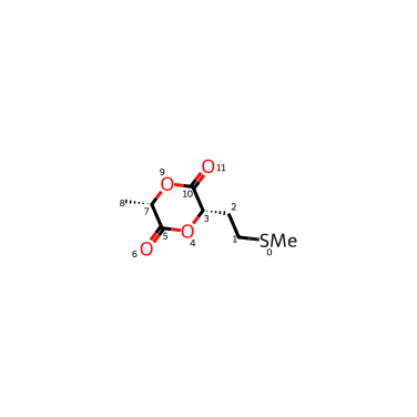 CSCC[C@@H]1OC(=O)[C@H](C)OC1=O